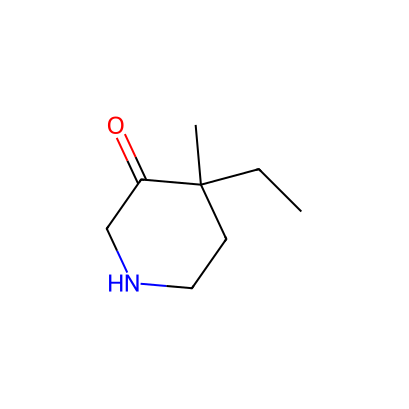 CCC1(C)CCNCC1=O